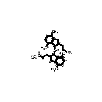 CCCC1=Cc2c(C)ccc(C)c2[CH]1[Zr+2][CH]1C(CCC)=Cc2c(C)ccc(C)c21.[Cl-].[Cl-]